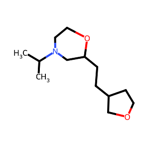 CC(C)N1CCOC(CCC2CCOC2)C1